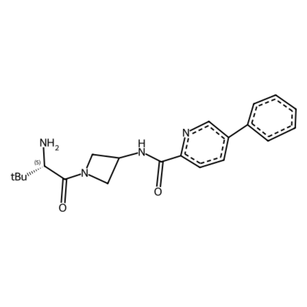 CC(C)(C)[C@H](N)C(=O)N1CC(NC(=O)c2ccc(-c3ccccc3)cn2)C1